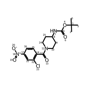 CC(C)(C)OC(=O)NC1CCN(C(=O)c2ccc([N+](=O)[O-])cc2Cl)CC1